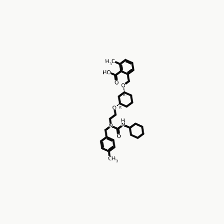 Cc1ccc(CN(CCO[C@H]2CCC[C@@H](OCc3cccc(C)c3C(=O)O)C2)C(=O)NC2CCCCC2)cc1